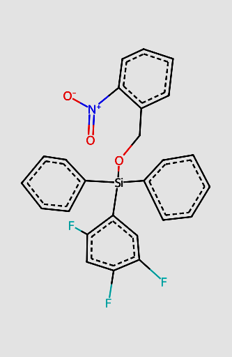 O=[N+]([O-])c1ccccc1CO[Si](c1ccccc1)(c1ccccc1)c1cc(F)c(F)cc1F